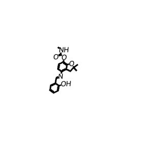 CNC(=O)Oc1ccc(/N=C/c2ccccc2O)c2c1OC(C)(C)C2